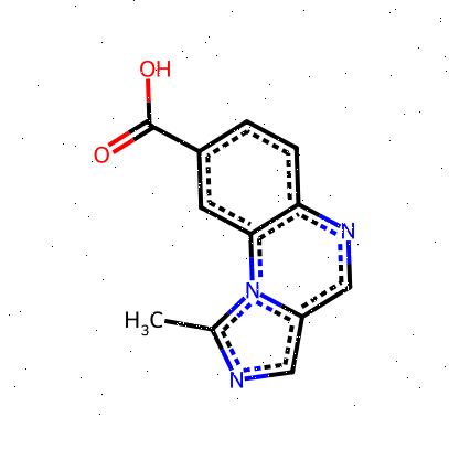 Cc1ncc2cnc3ccc(C(=O)O)cc3n12